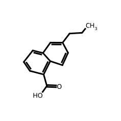 CCCc1ccc2c(C(=O)O)cccc2c1